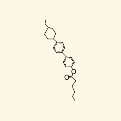 CCCCCC(=O)Oc1ccc(-c2ccc(C3CCC(CC)CC3)cc2)cc1